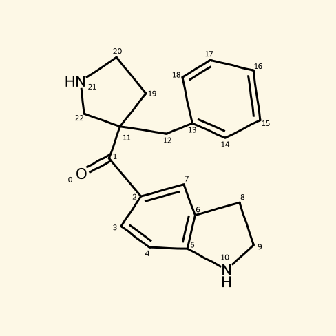 O=C(c1ccc2c(c1)CCN2)C1(Cc2ccccc2)CCNC1